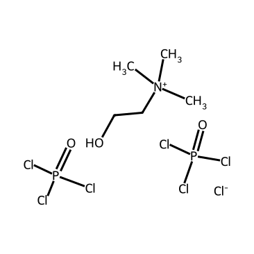 C[N+](C)(C)CCO.O=P(Cl)(Cl)Cl.O=P(Cl)(Cl)Cl.[Cl-]